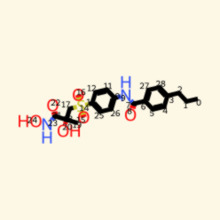 CCCc1ccc(C(=O)Nc2ccc(S(=O)(=O)CC(C)(O)C(=O)NO)cc2)cc1